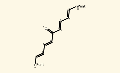 CCCCCC=CC=CC(=O)C=CC=CCCCCC